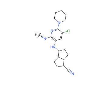 C=Nc1nc(N2CCCCC2)c(Cl)cc1NC1CCC2C(C#N)CCC12